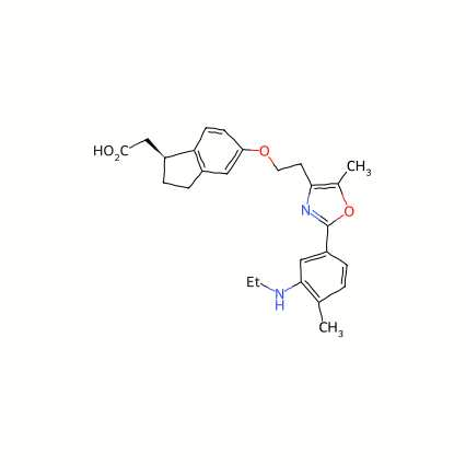 CCNc1cc(-c2nc(CCOc3ccc4c(c3)CC[C@H]4CC(=O)O)c(C)o2)ccc1C